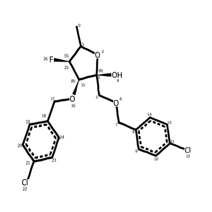 CC1O[C@](O)(COCc2ccc(Cl)cc2)[C@@H](OCc2ccc(Cl)cc2)[C@H]1F